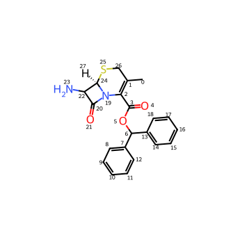 CC1=C(C(=O)OC(c2ccccc2)c2ccccc2)N2C(=O)C(N)[C@H]2SC1